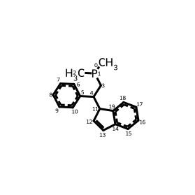 CP(C)CC(c1ccccc1)C1C=Cc2ccccc21